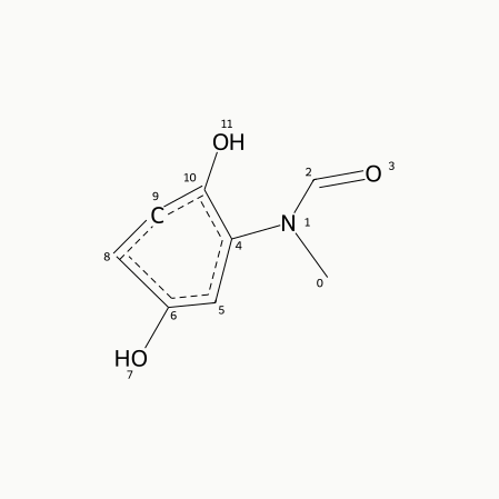 CN(C=O)c1cc(O)ccc1O